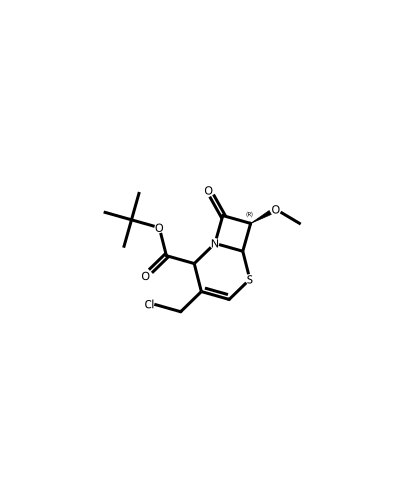 CO[C@@H]1C(=O)N2C(C(=O)OC(C)(C)C)C(CCl)=CSC12